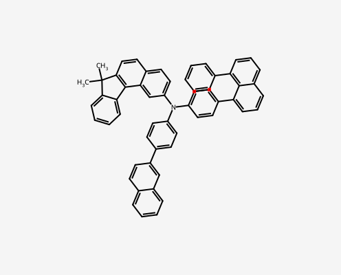 CC1(C)c2ccccc2-c2c1ccc1ccc(N(c3ccc(-c4ccc5ccccc5c4)cc3)c3ccc(-c4cccc5cccc(-c6ccccc6)c45)cc3)cc21